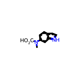 CN(C(=O)O)c1ccc2cc[nH]c2c1